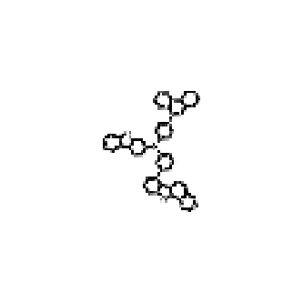 c1cc(-c2cccc3oc4c5ccccc5ccc4c23)cc(N(c2ccc(-c3cc4ccccc4c4ccccc34)cc2)c2ccc3c(c2)oc2ccccc23)c1